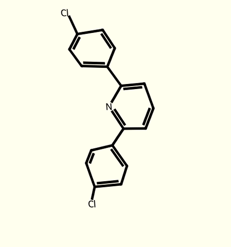 Clc1ccc(-c2cccc(-c3ccc(Cl)cc3)n2)cc1